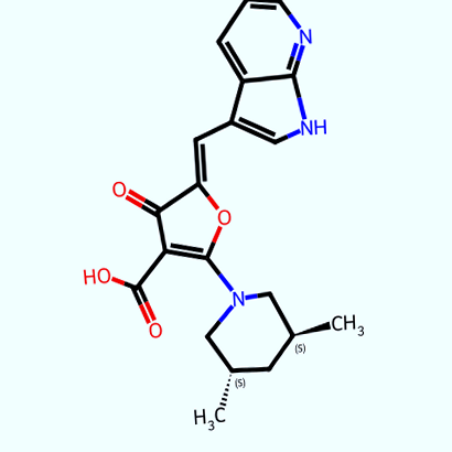 C[C@H]1C[C@H](C)CN(C2=C(C(=O)O)C(=O)C(=Cc3c[nH]c4ncccc34)O2)C1